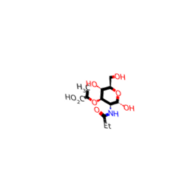 CCC(=O)N[C@@H]1[C@@H](OC(C)C(=O)O)[C@H](O)[C@@H](CO)O[C@@H]1O